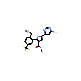 CCc1ccc(C(F)(F)F)cc1-c1[nH]c(-c2cc(N)ncn2)cc1C(=O)NC